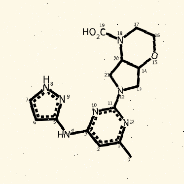 Cc1cc(Nc2cc[nH]n2)nc(N2CC3OCCN(C(=O)O)C3C2)n1